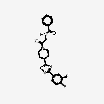 O=C(NCC(=O)N1CCC(c2nc(-c3ccc(F)c(F)c3)no2)CC1)c1ccccc1